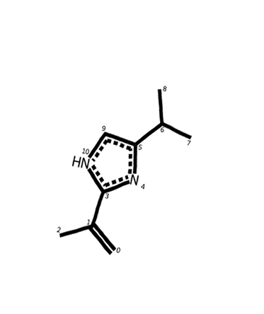 C=C(C)c1nc(C(C)C)c[nH]1